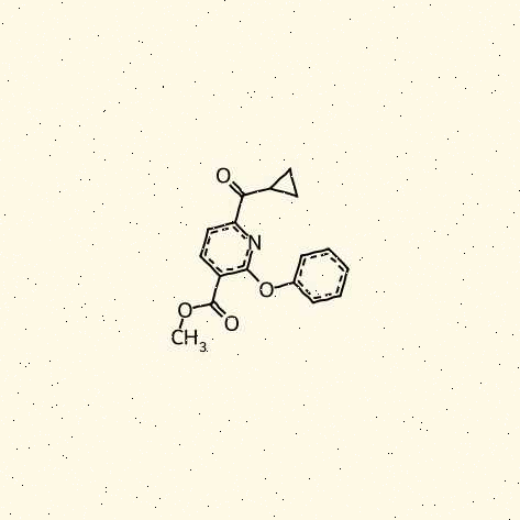 COC(=O)c1ccc(C(=O)C2CC2)nc1Oc1ccccc1